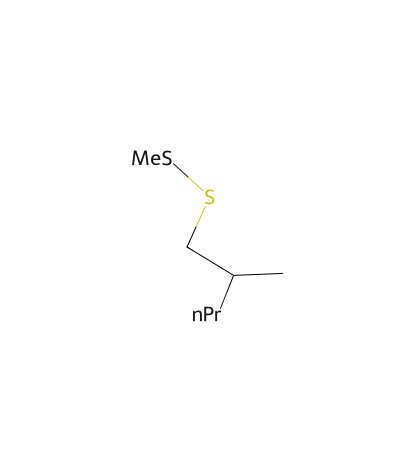 CCCC(C)CSSC